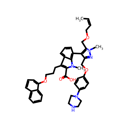 C/C=C\COCc1c(-c2cccc3c(CCCOc4cccc5ccccc45)c(C(=O)O)n(C)c23)c(COc2ccc(N3CCNCC3)cc2)nn1C